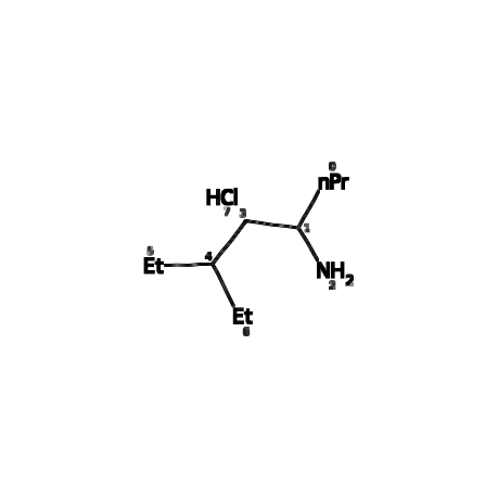 CCCC(N)CC(CC)CC.Cl